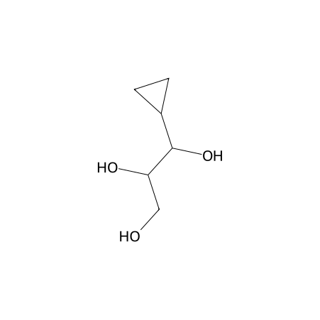 OCC(O)C(O)C1CC1